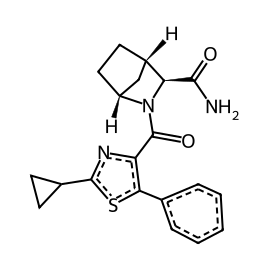 NC(=O)[C@@H]1[C@H]2CC[C@H](C2)N1C(=O)c1nc(C2CC2)sc1-c1ccccc1